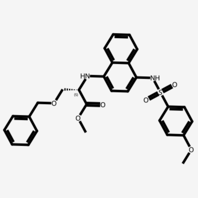 COC(=O)[C@H](COCc1ccccc1)Nc1ccc(NS(=O)(=O)c2ccc(OC)cc2)c2ccccc12